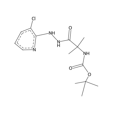 CC(C)(C)OC(=O)NC(C)(C)C(=O)NNc1ncccc1Cl